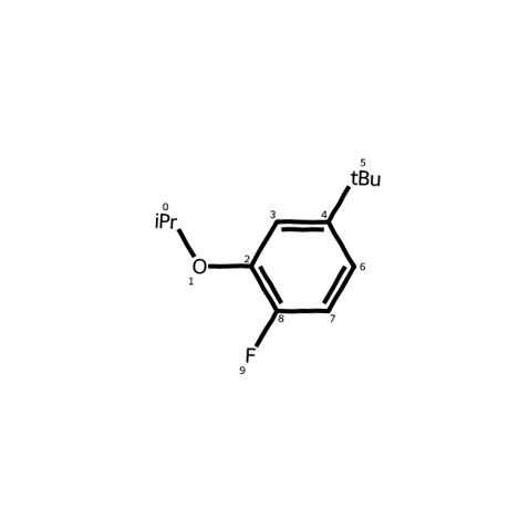 CC(C)Oc1cc(C(C)(C)C)ccc1F